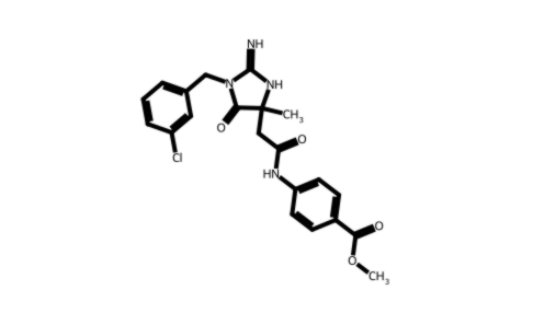 COC(=O)c1ccc(NC(=O)CC2(C)NC(=N)N(Cc3cccc(Cl)c3)C2=O)cc1